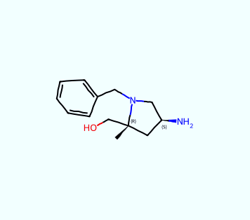 C[C@]1(CO)C[C@H](N)CN1Cc1ccccc1